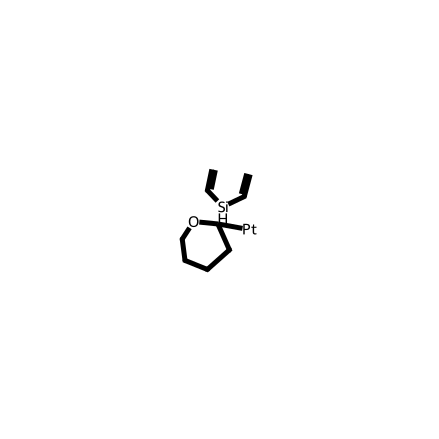 C=C[SiH](C=C)[C]1([Pt])CCCCO1